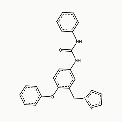 O=C(Nc1ccccc1)Nc1ccc(Oc2ccccc2)c(Cn2cccn2)c1